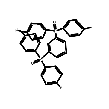 O=P(c1ccc(F)cc1)(c1ccc(F)cc1)c1cccc(P(=O)(c2ccc(F)cc2)c2ccc(F)cc2)c1